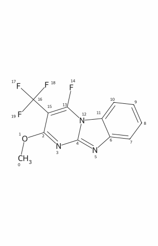 COc1nc2nc3ccccc3n2c(F)c1C(F)(F)F